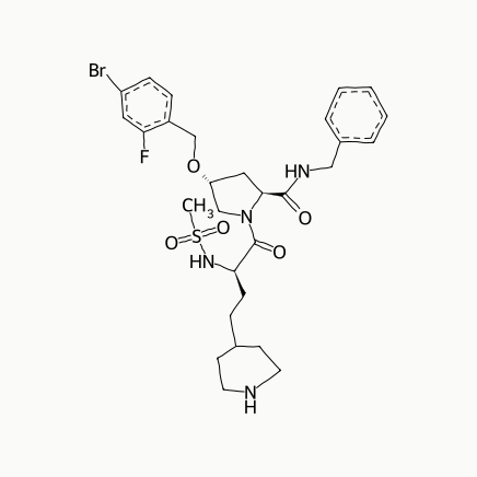 CS(=O)(=O)N[C@H](CCC1CCNCC1)C(=O)N1C[C@H](OCc2ccc(Br)cc2F)C[C@H]1C(=O)NCc1ccccc1